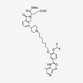 CNC(=O)C(CCC=O)N1Cc2c(cccc2C2CCN(CCCCCCCOc3cc(C(=O)Nc4c(C)cncc4Cl)ccc3OC(F)F)CC2)C1=O